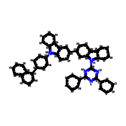 c1ccc(-c2nc(-c3ccccc3)nc(-n3c4ccccc4c4ccc(-c5ccc6c(c5)c5ccccc5n6-c5ccc(-c6cccc7ccccc67)cc5)cc43)n2)cc1